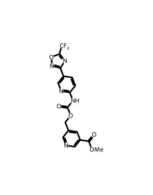 COC(=O)c1cncc(COC(=O)Nc2ccc(-c3noc(C(F)(F)F)n3)cn2)c1